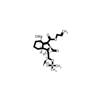 C=CCOC(=O)C1=C2[C@@H](OC)CCC[C@@H]2[C@@H]2[C@@H]([C@@H](CF)O[Si](C)(C)C)C(=O)N12